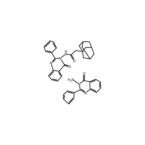 Nn1c(-c2ccccc2)nc2ccccc2c1=O.O=C(CC12CC3CC(CC(C3)C1)C2)Nn1c(-c2ccccc2)nc2ccccc2c1=O